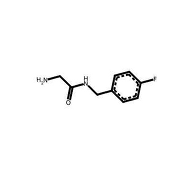 NCC(=O)NCc1ccc(F)cc1